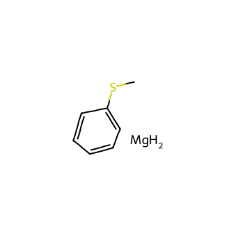 CSc1ccccc1.[MgH2]